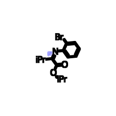 CC(C)OC(=O)/C(=N\c1ccccc1Br)C(C)C